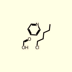 CCCCCCl.O=CO.c1ccncc1